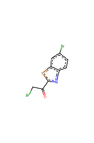 O=C(CBr)c1nc2ccc(Br)cc2s1